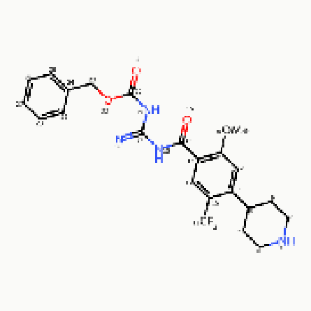 COc1cc(C2CCNCC2)c(C(F)(F)F)cc1C(=O)NC(=N)NC(=O)OCc1ccccc1